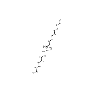 CCCCCCCCCCNCCCCCCCCCC.[Ti]